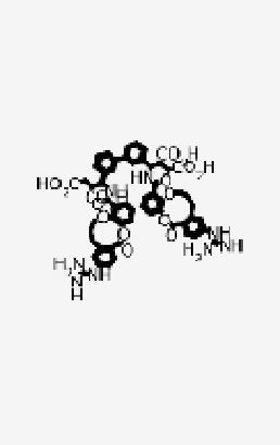 N=C(N)Nc1ccc2c(c1)CCCOc1c(cccc1C(=O)NC(c1cccc(-c3cccc(C(NC(=O)c4cccc5c4OCCCc4cc(NC(=N)N)ccc4C(=O)O5)C(CC(=O)O)C(=O)O)c3)c1)C(CC(=O)O)C(=O)O)OC2=O